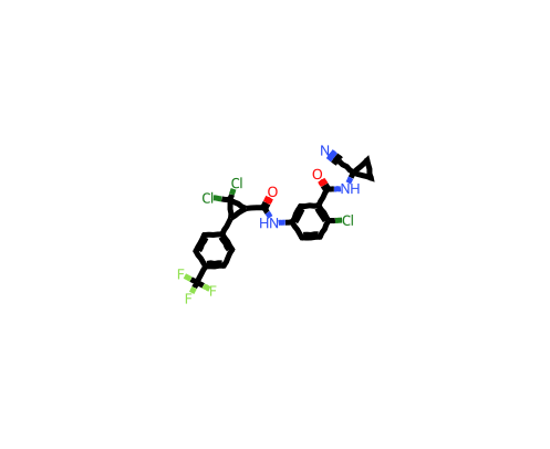 N#CC1(NC(=O)c2cc(NC(=O)C3C(c4ccc(C(F)(F)F)cc4)C3(Cl)Cl)ccc2Cl)CC1